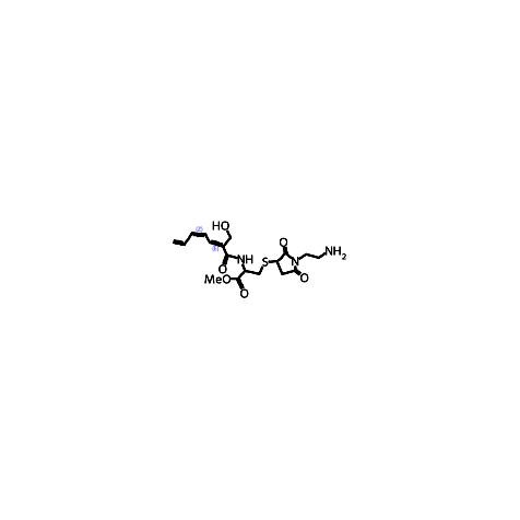 C=C/C=C\C=C(/CO)C(=O)NC(CSC1CC(=O)N(CCN)C1=O)C(=O)OC